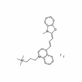 CN1C(=CC=Cc2cc[n+](CCC[N+](C)(C)C)c3ccccc23)Oc2ccccc21.[I-].[I-]